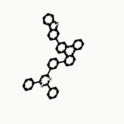 c1ccc(-c2cc(-c3cccc(-c4cccc5c6ccccc6c6cc(-c7ccc8c(c7)sc7ccccc78)ccc6c45)c3)nc(-c3ccccc3)n2)cc1